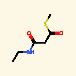 CCNC(=O)CC(=O)SC